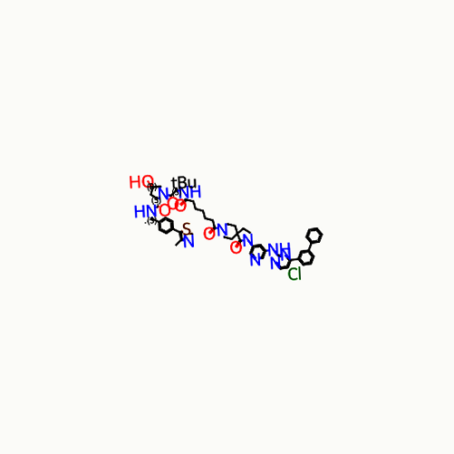 Cc1ncsc1-c1ccc([C@H](C)NC(=O)[C@@H]2C[C@@H](O)CN2C(=O)[C@@H](NC(=O)CCCCCC(=O)N2CCC3(CC2)CCN(c2cncc(Nc4ncc(Cl)c(-c5cccc(-c6ccccc6)c5)n4)c2)C3=O)C(C)(C)C)cc1